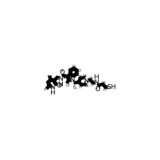 Cc1cc(C)c(CNC(=O)c2c(C)n([C@@H](C)C3CCN(CCNC(=O)CCS)CC3)c3ccccc23)c(=O)[nH]1